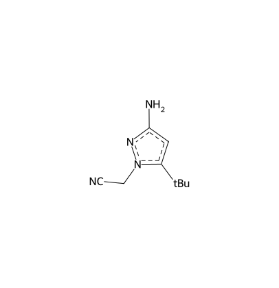 CC(C)(C)c1cc(N)nn1CC#N